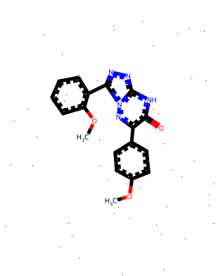 COc1ccc(-c2nn3c(-c4ccccc4OC)nnc3[nH]c2=O)cc1